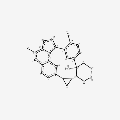 Cc1nc2ccc(C3CC3)nc2n2c(-c3cc(C4(O)CCOCC4)ccc3Cl)ncc12